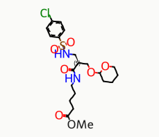 COC(=O)CCCCNC(=O)[C@@H](CNS(=O)(=O)c1ccc(Cl)cc1)COC1CCCCO1